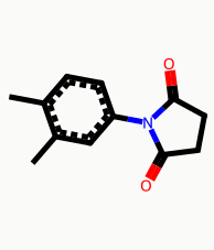 Cc1ccc(N2C(=O)CCC2=O)cc1C